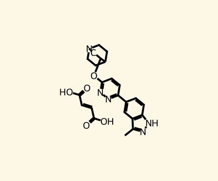 Cc1n[nH]c2ccc(-c3ccc(OC4CN5CCC4CC5)nn3)cc12.O=C(O)C=CC(=O)O